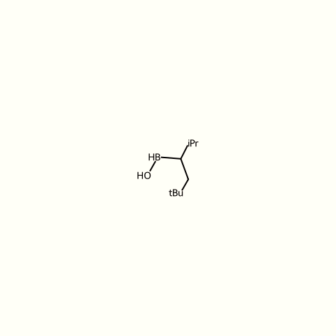 CC(C)C(BO)CC(C)(C)C